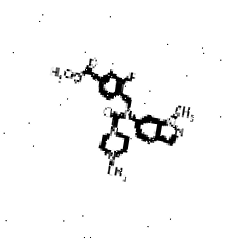 COC(=O)c1ccc(CN(C(=O)N2CCN(C)CC2)c2ccc3cnn(C)c3c2)c(F)c1